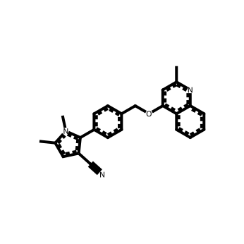 Cc1cc(OCc2ccc(-c3c(C#N)cc(C)n3C)cc2)c2ccccc2n1